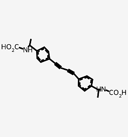 CC(NC(=O)O)c1ccc(C#CC#Cc2ccc(C(C)NC(=O)O)cc2)cc1